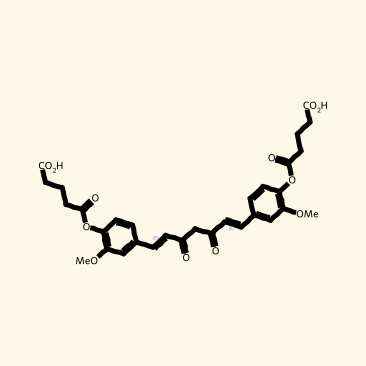 COc1cc(/C=C/C(=O)CC(=O)/C=C/c2ccc(OC(=O)CCCC(=O)O)c(OC)c2)ccc1OC(=O)CCCC(=O)O